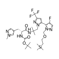 Cn1cc(C[C@@H](NC(=O)OC(C)(C)C)C(=O)NC(C)(C)Cn2nc(C(F)(F)F)cc2-c2c(F)cnn2COCC[Si](C)(C)C)cn1